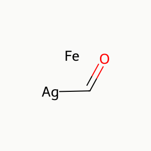 O=[CH][Ag].[Fe]